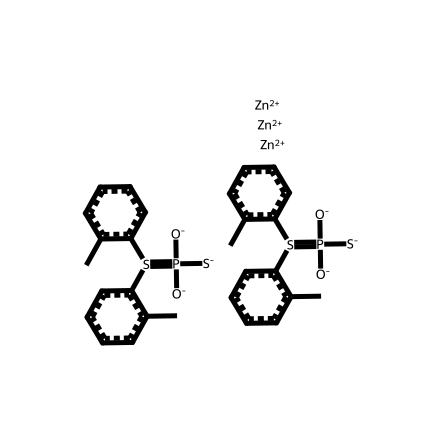 Cc1ccccc1S(c1ccccc1C)=P([O-])([O-])[S-].Cc1ccccc1S(c1ccccc1C)=P([O-])([O-])[S-].[Zn+2].[Zn+2].[Zn+2]